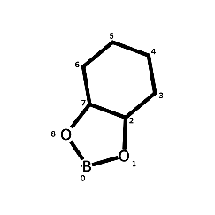 [B]1OC2CCCCC2O1